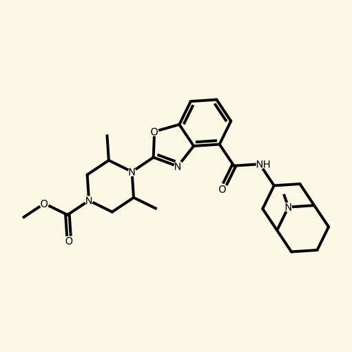 COC(=O)N1CC(C)N(c2nc3c(C(=O)NC4CC5CCCC(C4)N5C)cccc3o2)C(C)C1